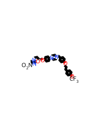 O=[N+]([O-])c1cn2c(n1)O[C@@H](COc1ccc(N3CCN(Cc4ccc(OCCCc5ccc(OC(F)(F)F)cc5)cc4)CC3)cc1)CC2